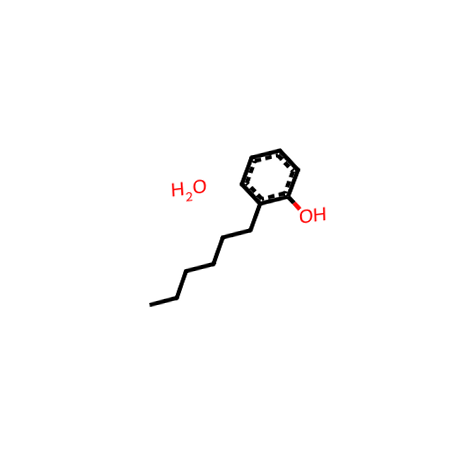 CCCCCCc1ccccc1O.O